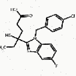 CCC(S)(CCC(=O)O)c1nc2cc(F)ccc2n1Cc1ccc(Cl)cc1